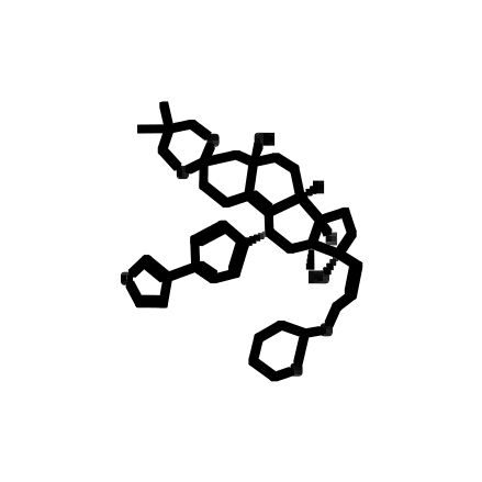 CC1(C)COC2(CCC3=C4[C@@H](CC[C@@]3(O)C2)[C@@H]2CC[C@@](O)(/C=C\COC3CCCCO3)[C@@]2(C)C[C@@H]4c2ccc(-c3ccoc3)cc2)OC1